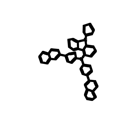 c1ccc(-n2c3ccccc3c3c(N(c4ccc(-c5ccc6ccccc6c5)cc4)c4ccc(-c5ccc6ccccc6c5)cc4)cccc32)cc1